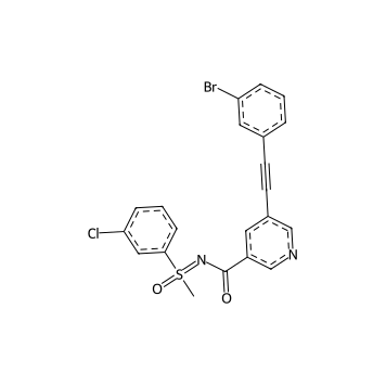 CS(=O)(=NC(=O)c1cncc(C#Cc2cccc(Br)c2)c1)c1cccc(Cl)c1